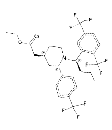 CCC[C@H](c1cc(C(F)(F)F)ccc1C(F)(F)F)N1CC[C@H](CC(=O)OCC)C[C@H]1c1ccc(C(F)(F)F)cc1